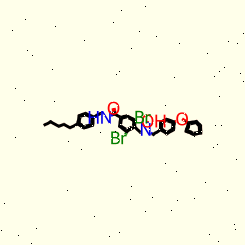 CCCCCc1ccc(CNC(=O)c2cc(Br)c(CN(O)Cc3ccc(Oc4ccccc4)cc3)c(Br)c2)cc1